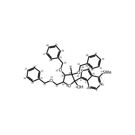 CSc1ncnc2c(C3(O)OC(COCc4ccccc4)C(OCc4ccccc4)C3(C)OCc3ccccc3)scc12